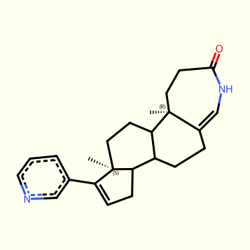 C[C@]12CCC(=O)NC=C1CCC1C2CC[C@]2(C)C(c3cccnc3)=CCC12